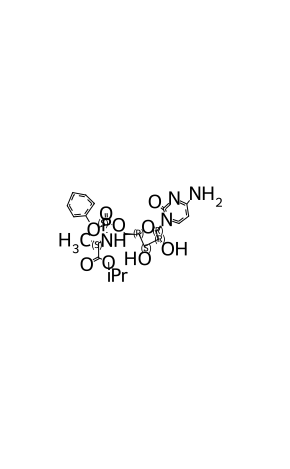 CC(C)OC(=O)[C@H](C)N[P@](=O)(OC[C@H]1O[C@@H](n2ccc(N)nc2=O)[C@H](O)[C@@H]1O)Oc1ccccc1